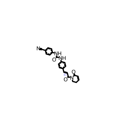 N#Cc1ccc(NC(=O)Nc2ccc(/C=C/C(=O)N3CCC=CC3=O)cc2)cc1